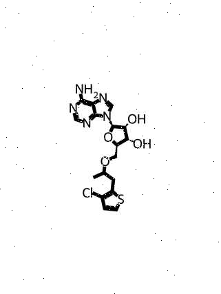 CC(Cc1sccc1Cl)OC[C@H]1O[C@@H](n2cnc3c(N)ncnc32)[C@H](O)[C@@H]1O